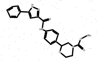 CC(C)(C)OC(=O)N1CCOC(c2ccc(NC(=O)c3cc(-c4ccccc4)[nH]n3)cc2)C1